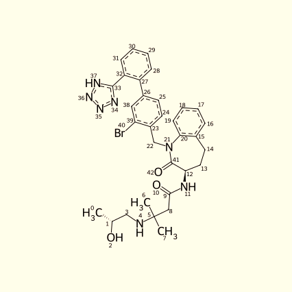 C[C@@H](O)CNC(C)(C)CC(=O)N[C@@H]1CCc2ccccc2N(Cc2ccc(-c3ccccc3-c3nnn[nH]3)cc2Br)C1=O